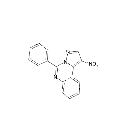 O=[N+]([O-])c1cnn2c(-c3ccccc3)nc3ccccc3c12